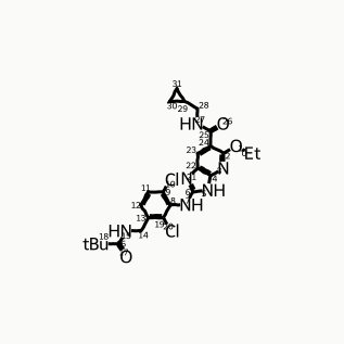 CCOc1nc2[nH]c(Nc3c(Cl)ccc(CNC(=O)C(C)(C)C)c3Cl)nc2cc1C(=O)NCC1CC1